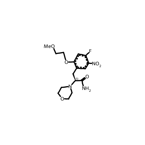 COCCOc1cc(F)c([N+](=O)[O-])cc1C[C@@H](C(N)=O)N1CCOCC1